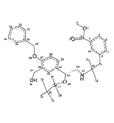 COC(=O)c1cccc(CC(C)(C)NC[C@H](O[Si](C)(C)C(C)(C)C)c2ccc(OCc3ccccc3)c(CO)c2)c1